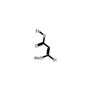 CCOC(=O)C=C(CC)OC